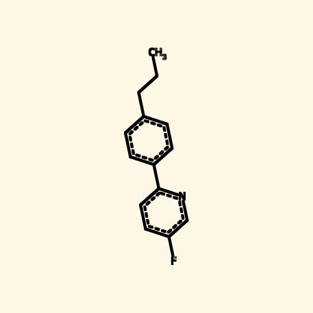 CCCc1ccc(-c2ccc(F)cn2)cc1